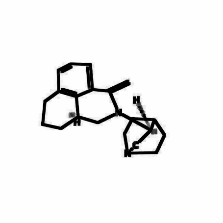 C=C1c2cccc3c2[C@H](CCC3)CN1[C@@H]1CN2CCC1CC2